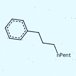 CCCCCCCCc1[c][c]ccc1